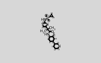 CC(C)(C(=O)Nc1ccc(-c2cccnc2)cc1F)c1csc(NS(=O)(=O)C2CC2)n1